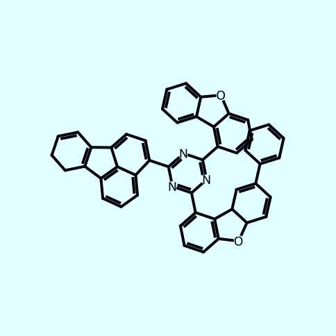 C1=CC2=C(CC1)c1cccc3c(-c4nc(-c5cccc6c5C5C=C(c7ccccc7)C=CC5O6)nc(-c5cccc6oc7ccccc7c56)n4)ccc2c13